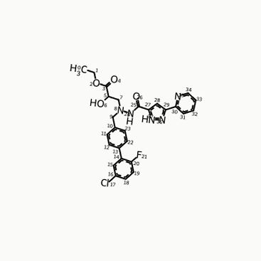 CCOC(=O)C(O)CN(Cc1ccc(-c2cc(Cl)ccc2F)cc1)NC(=O)c1cc(-c2ccccn2)n[nH]1